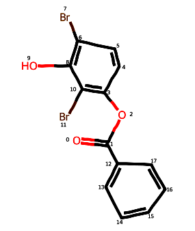 O=C(Oc1ccc(Br)c(O)c1Br)c1ccccc1